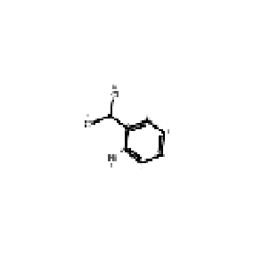 ClC(Cl)c1ccccc1.[N]